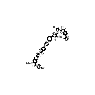 COc1cc(C)c(Sc2cnc(NC(=O)c3ccc(N4CCN(C5CCCC(C(=O)N[C@H](C(=O)CN6C[C@H](O)C[C@H]6C(=O)N[C@@H](C)c6ccc(-c7scnc7C)cc6)C(C)(C)C)CC5)CC4)cc3)s2)cc1C(=O)N1CCN(C(C)=O)CC1